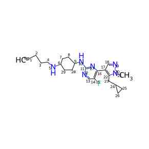 C#CCCCNC1CCC(Nc2ncc(F)c(-c3cnn(C)c3CC3CC3)n2)CC1